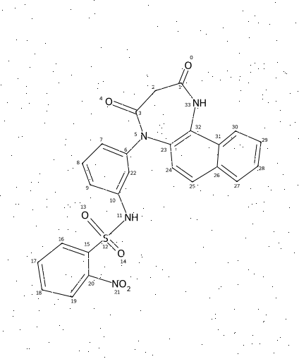 O=C1CC(=O)N(c2cccc(NS(=O)(=O)c3ccccc3[N+](=O)[O-])c2)c2ccc3ccccc3c2N1